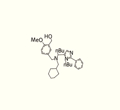 CCCCC(c1cnc(-c2ccccc2)n1CCCC)N(Cc1ccc(OC)c(CO)c1)CC1CCCCC1